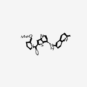 COCC1CCCN1C(=O)c1cc2nccc(Nc3ccc4nc(C)ccc4c3)c2s1